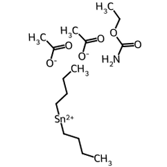 CC(=O)[O-].CC(=O)[O-].CCC[CH2][Sn+2][CH2]CCC.CCOC(N)=O